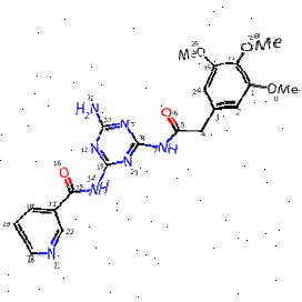 COc1cc(CC(=O)Nc2nc(N)nc(NC(=O)c3cccnc3)n2)cc(OC)c1OC